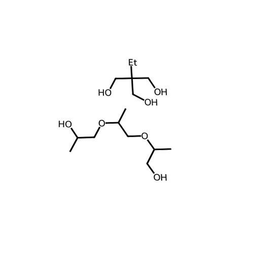 CC(O)COC(C)COC(C)CO.CCC(CO)(CO)CO